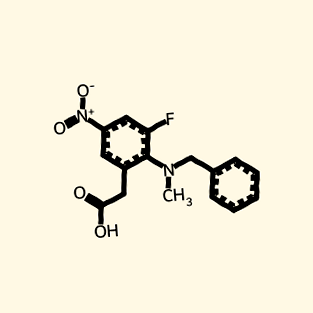 CN(Cc1ccccc1)c1c(F)cc([N+](=O)[O-])cc1CC(=O)O